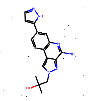 CC(C)(O)Cn1cc2c(n1)c(N)nc1cc(-c3ccn[nH]3)ccc12